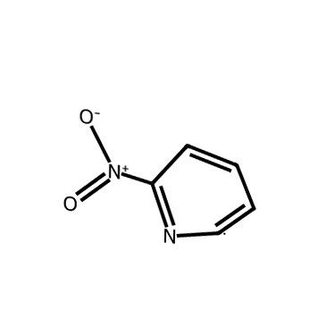 O=[N+]([O-])c1ccc[c]n1